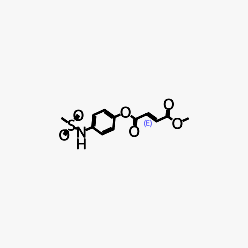 COC(=O)/C=C/C(=O)Oc1ccc(NS(C)(=O)=O)cc1